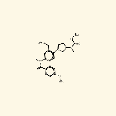 CCCCOc1ccc(C(=O)N(C)c2ccc(N3CCC(N(C)C(=O)OC(C)(C)C)C3)c(COC)c2)cc1